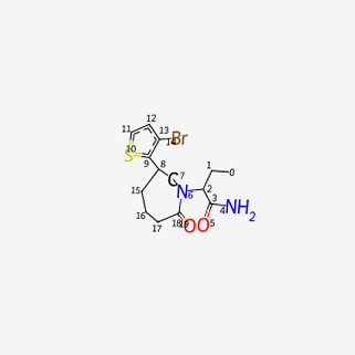 CCC(C(N)=O)N1CC(c2sccc2Br)CCCC1=O